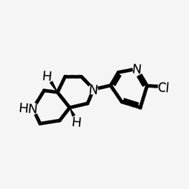 Clc1ccc(N2CC[C@H]3CNCC[C@H]3C2)cn1